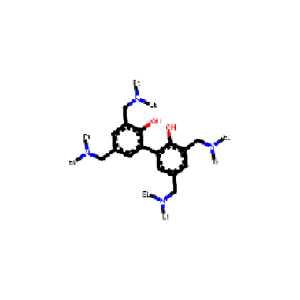 CCN(CC)Cc1cc(CN(CC)CC)c(O)c(-c2cc(CN(CC)CC)cc(CN(CC)CC)c2O)c1